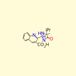 CC(C)C1(C)NC(c2nc3ccccc3cc2C(=O)O)NC1=O